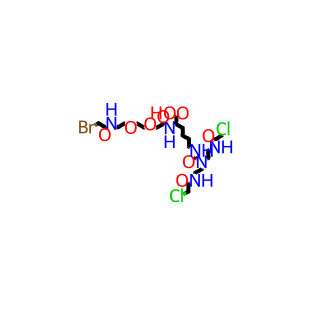 O=C(CCl)NCCN(CCNC(=O)CCl)C(=O)NCCCCC(NC(=O)COCCOCCNC(=O)CBr)C(=O)O